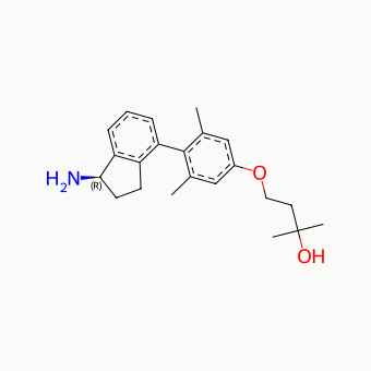 Cc1cc(OCCC(C)(C)O)cc(C)c1-c1cccc2c1CC[C@H]2N